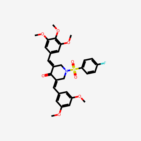 COc1cc(C=C2CN(S(=O)(=O)c3ccc(F)cc3)CC(=Cc3cc(OC)c(OC)c(OC)c3)C2=O)cc(OC)c1